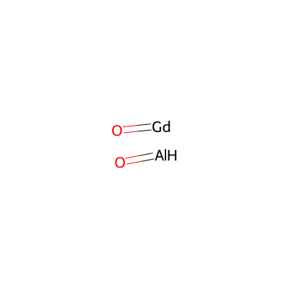 [O]=[AlH].[O]=[Gd]